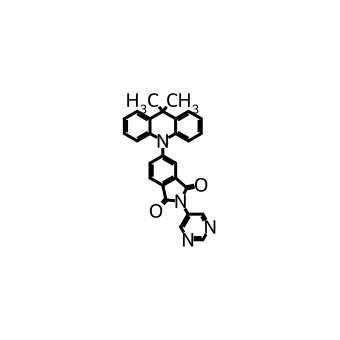 CC1(C)c2ccccc2N(c2ccc3c(c2)C(=O)N(c2cncnc2)C3=O)c2ccccc21